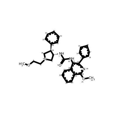 COCCN1C[C@@H](NC(=O)Nc2c(-c3ccccc3)nc(OC)c3ccccc23)[C@H](c2ccccc2)C1